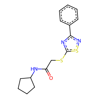 O=C(CSc1nc(-c2ccccc2)ns1)NC1CCCC1